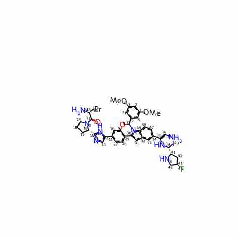 COc1cc(OC)cc(C2Oc3cc(-c4cnc([C@@H]5CCCN5C(=O)[C@@H](N)C(C)C)[nH]4)ccc3-c3cc4cc(/C(=C/N)NC(I)[C@@H]5C[C@@H](F)CN5)ccc4n32)c1